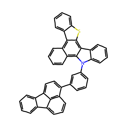 c1cc(-c2ccc3c4c(cccc24)-c2ccccc2-3)cc(-n2c3ccccc3c3c4sc5ccccc5c4c4ccccc4c32)c1